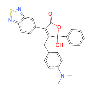 CN(C)c1ccc(CC2=C(c3ccc4nsnc4c3)C(=O)OC2(O)c2ccccc2)cc1